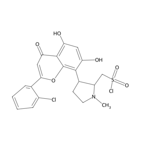 CN1CCC(c2c(O)cc(O)c3c(=O)cc(-c4ccccc4Cl)oc23)C1CS(=O)(=O)Cl